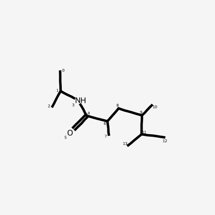 CC(C)NC(=O)C(C)CC(C)C(C)C